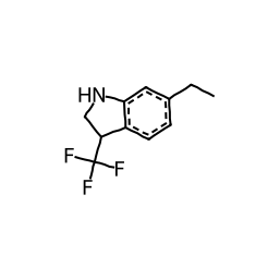 CCc1ccc2c(c1)NCC2C(F)(F)F